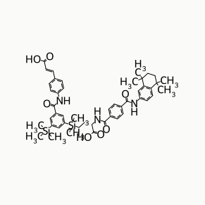 CC1(C)CCC(C)(C)c2cc(NC(=O)c3ccc(C(=O)N[C@@H](CC[Si](C)(C)c4cc(C(=O)Nc5ccc(/C=C/C(=O)O)cc5)cc([Si](C)(C)C)c4)C(=O)O)cc3)ccc21